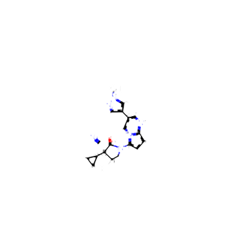 C[C@@H]1CN(c2ccc3ncc(-c4cnn(C)c4)cn23)C(=O)[C@]1(C#N)C1CC1